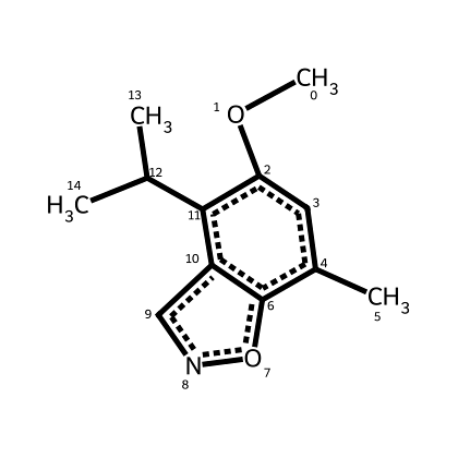 COc1cc(C)c2oncc2c1C(C)C